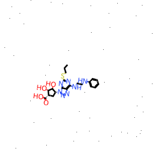 CCCSc1nc(NCCNc2ccccc2)c2nnn([C@@H]3C[C@H](C(=O)O)[C@@H](O)[C@H]3O)c2n1